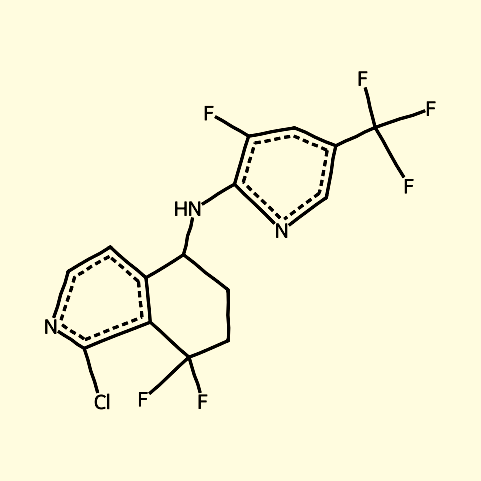 Fc1cc(C(F)(F)F)cnc1NC1CCC(F)(F)c2c1ccnc2Cl